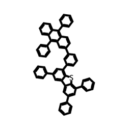 c1ccc(-c2cc(-c3ccccc3)c3sc4c(-c5cccc(-c6ccc7c(-c8ccccc8)c8ccccc8c(-c8ccccc8)c7c6)c5)cc(-c5ccccc5)cc4c3c2)cc1